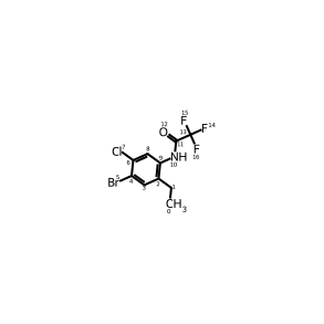 CCc1cc(Br)c(Cl)cc1NC(=O)C(F)(F)F